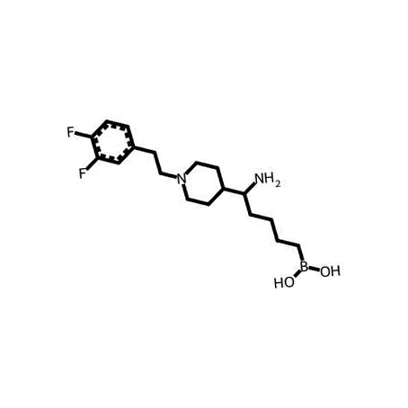 NC(CCCCB(O)O)C1CCN(CCc2ccc(F)c(F)c2)CC1